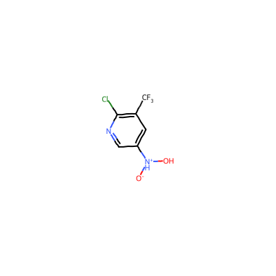 [O-][NH+](O)c1cnc(Cl)c(C(F)(F)F)c1